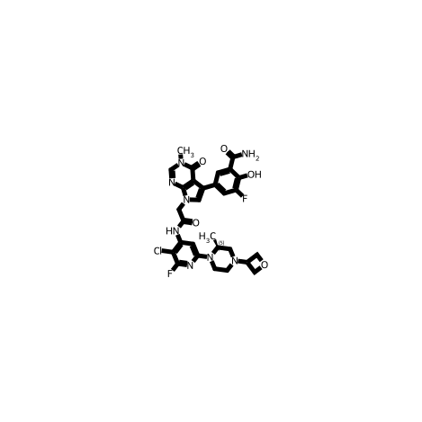 C[C@H]1CN(C2COC2)CCN1c1cc(NC(=O)Cn2cc(-c3cc(F)c(O)c(C(N)=O)c3)c3c(=O)n(C)cnc32)c(Cl)c(F)n1